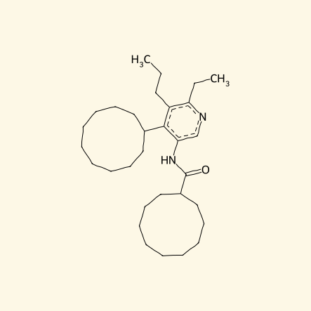 CCCc1c(CC)ncc(NC(=O)C2CCCCCCCCC2)c1C1CCCCCCCCC1